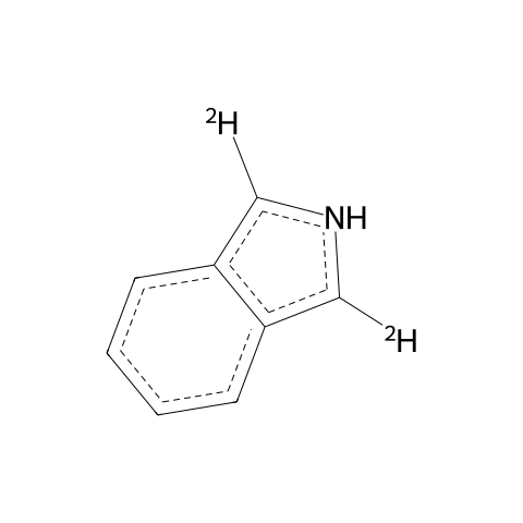 [2H]c1[nH]c([2H])c2ccccc12